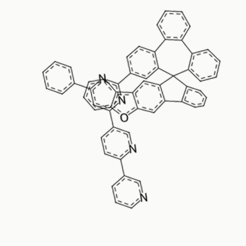 c1ccc(-c2cc(-c3ccc(-c4cccnc4)nc3)nc(-c3ccc4c(c3)C3(c5ccccc5-c5ccccc5-4)c4ccccc4-c4cc5oc6ccccc6c5cc43)n2)cc1